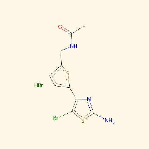 Br.CC(=O)NCc1ccc(-c2nc(N)sc2Br)s1